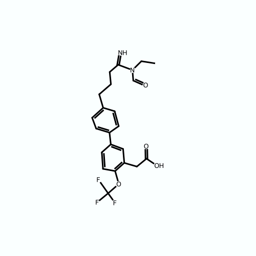 CCN(C=O)C(=N)CCCc1ccc(-c2ccc(OC(F)(F)F)c(CC(=O)O)c2)cc1